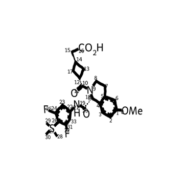 COc1ccc2c(c1)CCN(C(=O)[C@H]1C[C@H](CC(=O)O)C1)[C@H]2C(=O)Nc1cc(F)c(S(C)(C)C)c(F)c1